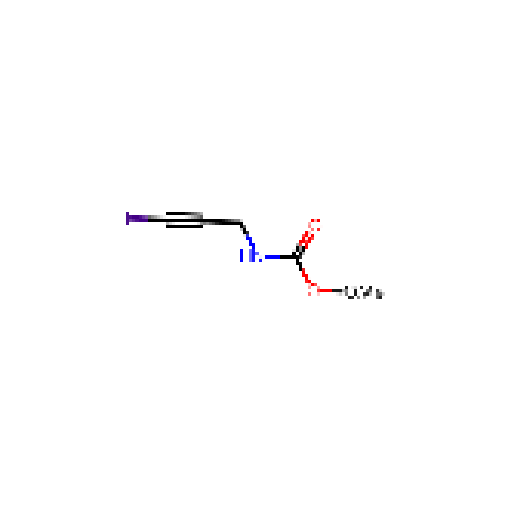 COOC(=O)NCC#CI